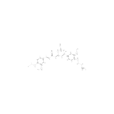 CCOc1ccc(/C=C/C(=O)/C=C(/C=C/c2ccc(OCCN)c(OC)c2)OB(F)F)cc1OC